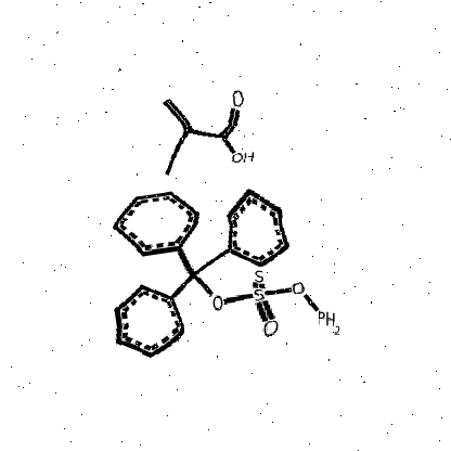 C=C(C)C(=O)O.O=S(=S)(OP)OC(c1ccccc1)(c1ccccc1)c1ccccc1